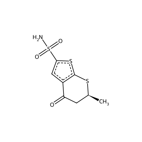 C[C@H]1CC(=O)c2cc(S(N)(=O)=O)sc2S1